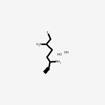 C#CC(N)CCC(N)CF.Cl.Cl